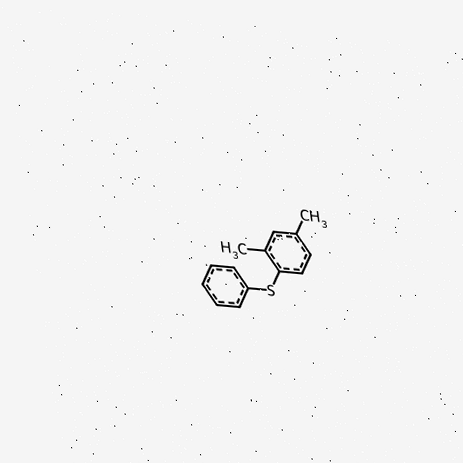 Cc1ccc(Sc2c[c]ccc2)c(C)c1